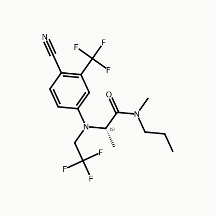 CCCN(C)C(=O)[C@H](C)N(CC(F)(F)F)c1ccc(C#N)c(C(F)(F)F)c1